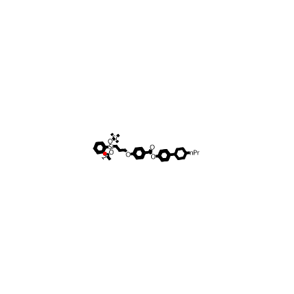 CCCC1CCC(c2ccc(OC(=O)c3ccc(OCCC[Si](O[Si](C)(C)C)(O[Si](C)(C)C)c4ccccc4)cc3)cc2)CC1